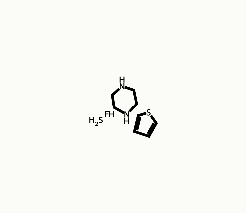 C1CNCCN1.F.S.c1ccsc1